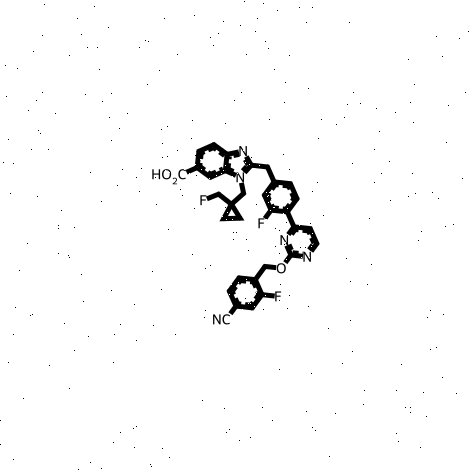 N#Cc1ccc(COc2nccc(-c3ccc(Cc4nc5ccc(C(=O)O)cc5n4CC4(CF)CC4)cc3F)n2)c(F)c1